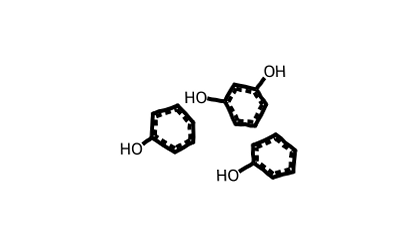 Oc1cccc(O)c1.Oc1ccccc1.Oc1ccccc1